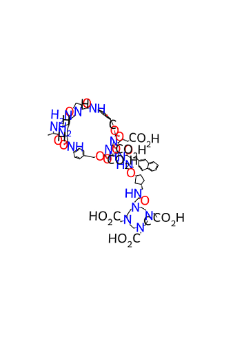 C[C@@H](N)C(=O)N1CC2C[C@H]1C(=O)Nc1ccc(cc1)COC(=O)N([C@@H](CNC(=O)[C@H](Cc1ccc3ccccc3c1)NCOC1CC[C@@H](CNC(=O)CN3CCN(CC(=O)O)CCN(CC(=O)O)CCN(CC(=O)O)CC3)C1)C(=O)O)C(=O)N([C@@H](CCC(=O)O)C(=O)O)C(=O)OCc1ccc(cc1)NC(=O)[C@@H]1CCCN1C(=O)[C@@H]2N